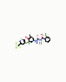 Cc1cc(N(C)C(=O)NC(=O)c2ccccc2Cl)ccc1Oc1ncc(C(F)(F)F)cc1Cl